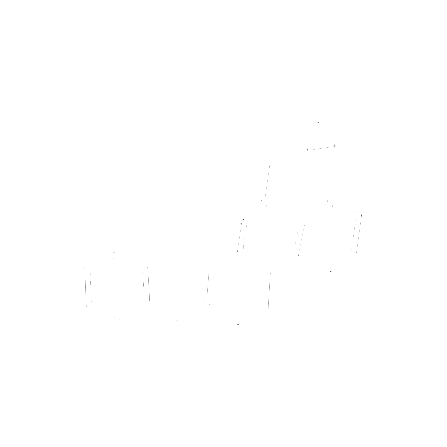 O=c1c2c(c3cccnc3n1CC1CC1)CCN(Cc1ccccc1)C2